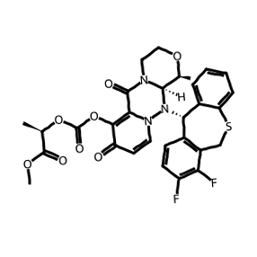 COC(=O)[C@@H](C)OC(=O)Oc1c2n(ccc1=O)N([C@@H]1c3ccccc3SCc3c1ccc(F)c3F)[C@@H]1[C@H](C)OCCN1C2=O